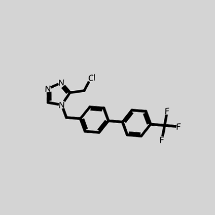 FC(F)(F)c1ccc(-c2ccc(Cn3cnnc3CCl)cc2)cc1